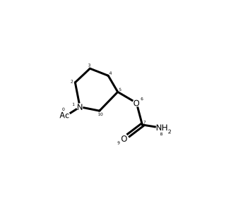 CC(=O)N1CCCC(OC(N)=O)C1